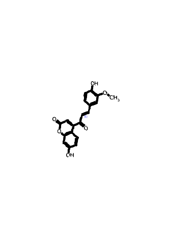 COc1cc(/C=C/C(=O)c2cc(=O)oc3cc(O)ccc23)ccc1O